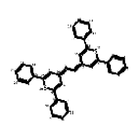 C(C=C1C=C(c2ccccc2)SC(c2ccccc2)=C1)=C1C=C(c2ccccc2)SC(c2ccccc2)=C1